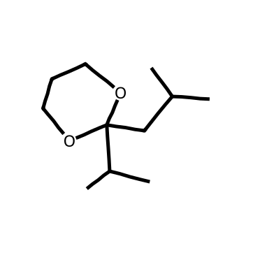 CC(C)CC1(C(C)C)OCCCO1